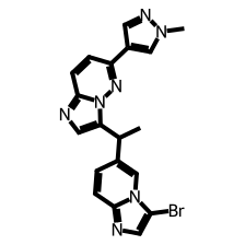 CC(c1ccc2ncc(Br)n2c1)c1cnc2ccc(-c3cnn(C)c3)nn12